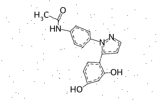 CC(=O)Nc1ccc(-n2nccc2-c2ccc(O)cc2O)cc1